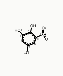 O=[SH](=O)c1cc(Cl)cc(O)c1O